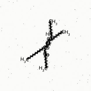 CCCCCCCCCCCCCCN(CCCOC(=O)CCCCCCCCC)CC(=O)N1CCN(C(=O)CN(CCCCCCCCC)CCNCCCCCCCCC)CC1